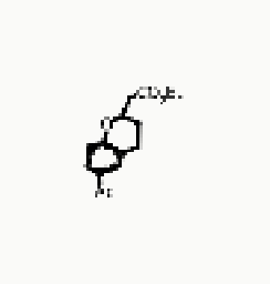 CCOC(=O)CC1CCc2cc(C(C)=O)ccc2O1